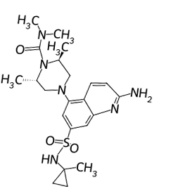 C[C@H]1CN(c2cc(S(=O)(=O)NC3(C)CC3)cc3nc(N)ccc23)C[C@H](C)N1C(=O)N(C)C